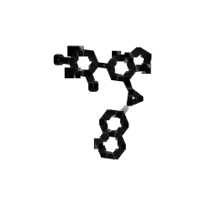 O=c1[nH]cc(-c2cc([C@H]3C[C@@H]3c3ccc4ncccc4c3)c3nccn3n2)c(=O)[nH]1